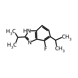 CC(C)c1nc2c(F)c(C(C)C)ccc2[nH]1